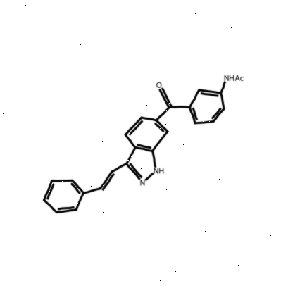 CC(=O)Nc1cccc(C(=O)c2ccc3c(C=Cc4ccccc4)n[nH]c3c2)c1